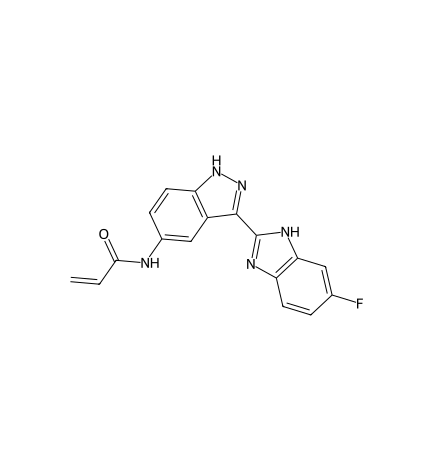 C=CC(=O)Nc1ccc2[nH]nc(-c3nc4ccc(F)cc4[nH]3)c2c1